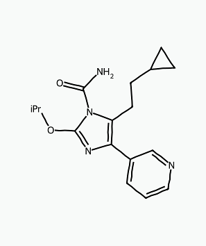 CC(C)Oc1nc(-c2cccnc2)c(CCC2CC2)n1C(N)=O